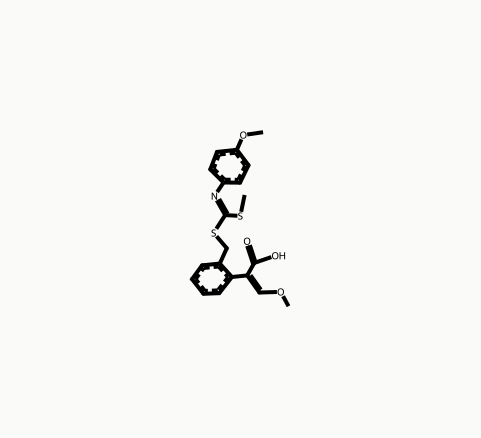 COC=C(C(=O)O)c1ccccc1CSC(=Nc1ccc(OC)cc1)SC